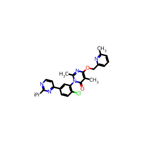 Cc1cccc(COc2nc(C)n(-c3cc(-c4ccnc(C(C)C)n4)ccc3Cl)c(=O)c2C)n1